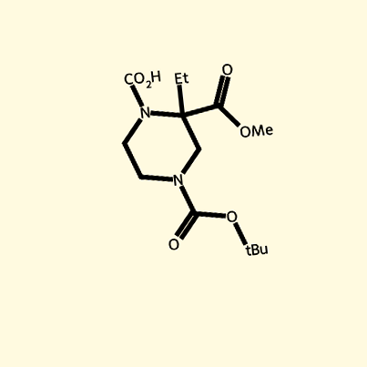 CCC1(C(=O)OC)CN(C(=O)OC(C)(C)C)CCN1C(=O)O